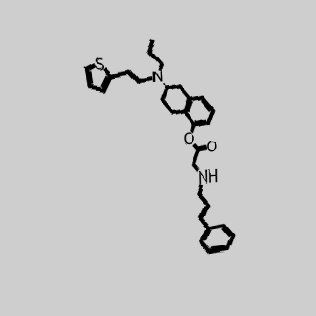 CCCN(CCc1cccs1)[C@H]1CCc2c(cccc2OC(=O)CNC/C=C/c2ccccc2)C1